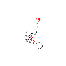 O=C1[C@H]2CC[C@@H]1[C@H](COC1CCCCC1)[C@@H]2C/C=C\CCCCO